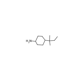 CCC(C)(C)C1CCC(N)CC1